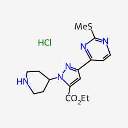 CCOC(=O)c1cc(-c2ccnc(SC)n2)nn1C1CCNCC1.Cl